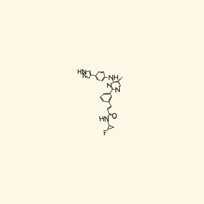 Cc1cnc(-c2cccc(/C=C/C(=O)NC3CC3F)c2)nc1Nc1ccc(-c2cn[nH]c2)cc1